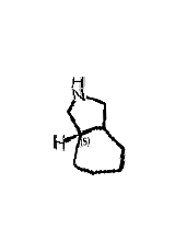 C1CC[C@@H]2CNCC2C1